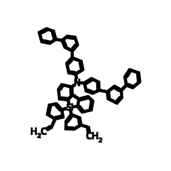 C=Cc1cccc([Si]2(c3cccc(C=C)c3)c3ccccc3-c3c(N(c4ccc(-c5cccc(-c6ccccc6)c5)cc4)c4ccc(-c5cccc(-c6ccccc6)c5)cc4)cccc32)c1